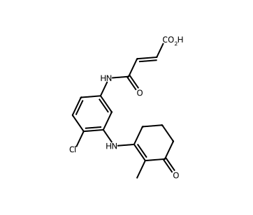 CC1=C(Nc2cc(NC(=O)C=CC(=O)O)ccc2Cl)CCCC1=O